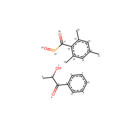 CC(O)C(=O)c1ccccc1.Cc1cc(C)c(C(=O)P=O)c(C)c1